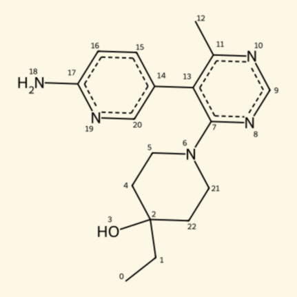 CCC1(O)CCN(c2ncnc(C)c2-c2ccc(N)nc2)CC1